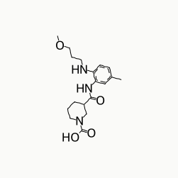 COCCCNc1ccc(C)cc1NC(=O)C1CCCN(C(=O)O)C1